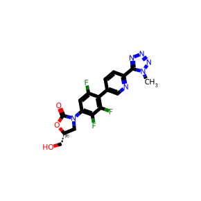 Cn1nnnc1-c1ccc(-c2c(F)cc(N3C[C@H](CO)OC3=O)c(F)c2F)cn1